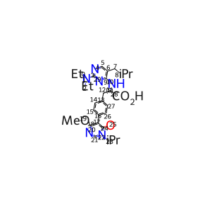 CCN(CC)c1ncc(CC(C)C)c(N[C@@H](Cc2ccc(-c3c(OC)ncn(C(C)C)c3=O)cc2)C(=O)O)n1